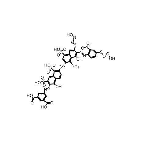 Nc1c(N=Nc2ccc3c(O)c(N=Nc4cc(C(=O)O)cc(C(=O)O)c4)c(S(=O)(=O)O)cc3c2S(=O)(=O)O)cc(S(=O)(=O)O)c2cc(SOOO)c(N=Nc3ccc(SOOO)cc3[N+](=O)[O-])c(O)c12